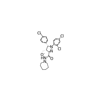 C[C@H]1C(C(=O)[NH+]([O-])N2CCCCCC2)=NN(c2ccc(Cl)cc2Cl)[C@H]1c1ccc(Cl)cc1